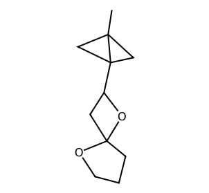 CC12CC1(C1CC3(CCCO3)O1)C2